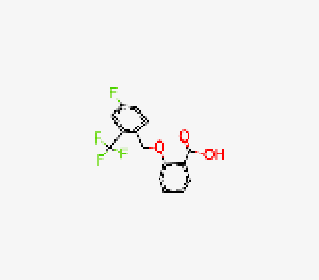 O=C(O)c1ccccc1OCc1ccc(F)cc1C(F)(F)F